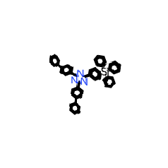 c1ccc(-c2ccc(-c3nc(-c4ccc(-c5ccccc5)cc4)nc(-c4ccc([Si](c5ccccc5)(c5ccccc5)c5ccccc5)cc4)n3)cc2)cc1